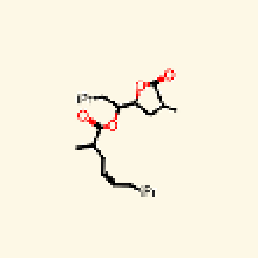 CC(C)C/C=C\CC(C)C(=O)OC(CC(C)C)C1CC(C)C(=O)O1